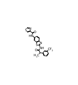 CC(C(=O)Nc1nc2ccc(NC(=O)c3cscn3)cc2s1)c1cccc(C(F)(F)F)c1